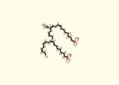 CC/C=C\C/C=C\C/C=C\CCCCCCCC(=O)[O-].CC/C=C\C/C=C\C/C=C\CCCCCCCC(=O)[O-].[CH3][Sn+2][CH3]